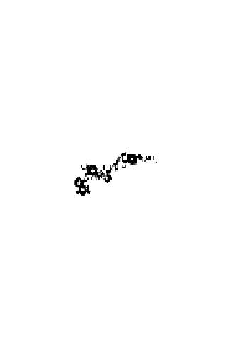 CCN(CCCNC(=O)[C@@H]1CCCN1S(=O)(=O)c1ccc(Cl)c(COc2cccc3c(C)cc(C)nc23)c1Cl)C(=O)c1ccc(C=NN)cc1